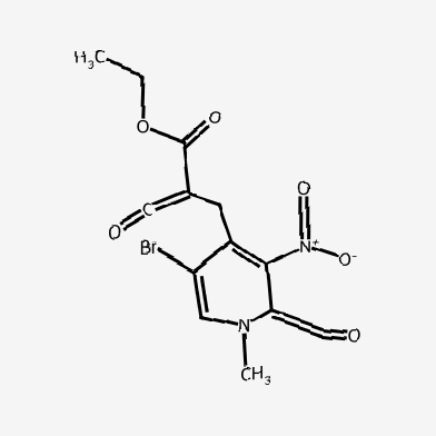 CCOC(=O)C(=C=O)CC1=C([N+](=O)[O-])C(=C=O)N(C)C=C1Br